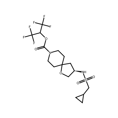 O=C(OC(C(F)(F)F)C(F)(F)F)N1CCC2(CC1)C[C@@H](NS(=O)(=O)CC1CC1)CO2